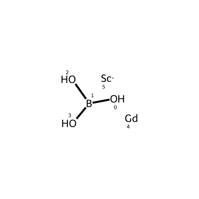 OB(O)O.[Gd].[Sc]